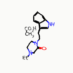 CC(=O)O.CCN1CCN(CCc2c[nH]c3ccccc23)C(=O)C1